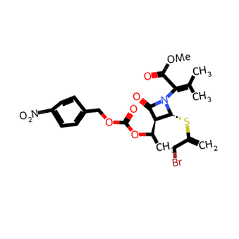 C=C(CBr)S[C@@H]1[C@@H](C(C)OC(=O)OCc2ccc([N+](=O)[O-])cc2)C(=O)N1C(C(=O)OC)=C(C)C